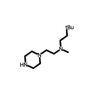 CN(CCN1CCNCC1)CCC(C)(C)C